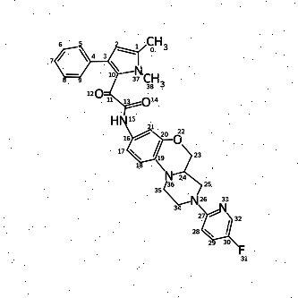 Cc1cc(-c2ccccc2)c(C(=O)C(=O)Nc2ccc3c(c2)OCC2CN(c4ccc(F)cn4)CCN32)n1C